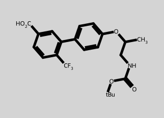 CC(CNC(=O)OC(C)(C)C)Oc1ccc(-c2cc(C(=O)O)ccc2C(F)(F)F)cc1